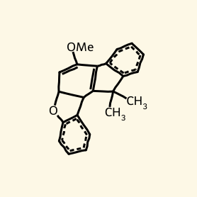 COC1=CC2Oc3ccccc3C2C2=C1c1ccccc1C2(C)C